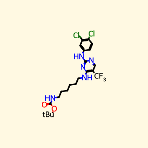 CC(C)(C)OC(=O)NCCCCCCNc1nc(Nc2ccc(Cl)c(Cl)c2)ncc1C(F)(F)F